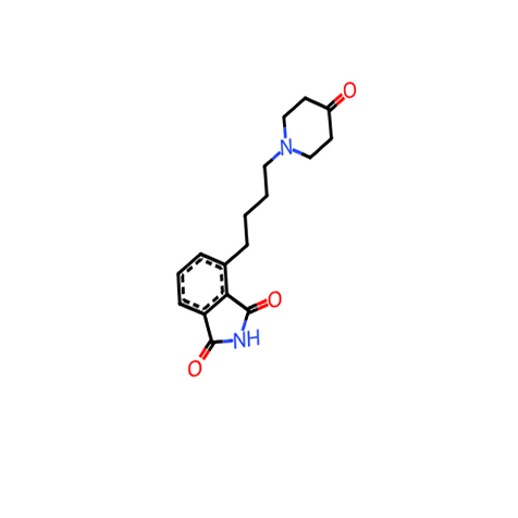 O=C1CCN(CCCCc2cccc3c2C(=O)NC3=O)CC1